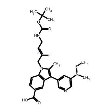 CSN(C)c1cncc(-c2c(C)n(C/C(F)=C/CNC(=O)OC(C)(C)C)c3ccc(C(=O)O)cc23)c1